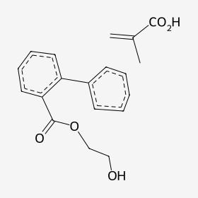 C=C(C)C(=O)O.O=C(OCCO)c1ccccc1-c1ccccc1